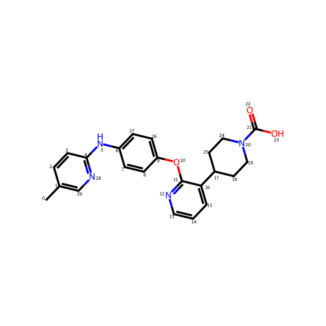 Cc1ccc(Nc2ccc(Oc3ncccc3C3CCN(C(=O)O)CC3)cc2)nc1